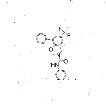 CN(Cc1cc(C(F)(F)F)cc(-c2ccccc2)c1[O])C(=O)Nc1ccccc1